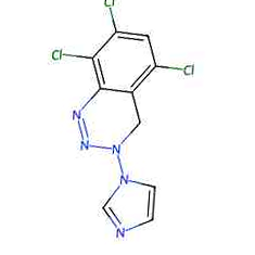 Clc1cc(Cl)c2c(c1Cl)N=NN(n1ccnc1)C2